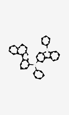 c1ccc(N(c2ccc3c(c2)c2ccccc2n3-c2ccccc2)c2cccc3c2sc2ccc4ccccc4c23)cc1